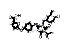 C=C/C=C(\C=C/CCl)Cn1c(=O)n(C(C)C)c(=O)[nH]/c1=N\c1ccc(Oc2ccc(C(=O)O)o2)cc1